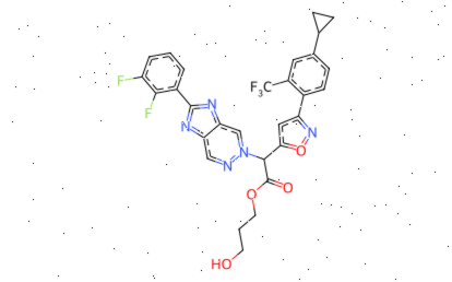 O=C(OCCCO)C(c1cc(-c2ccc(C3CC3)cc2C(F)(F)F)no1)n1cc2nc(-c3cccc(F)c3F)nc-2cn1